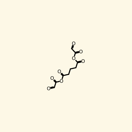 O=CC(=O)OC(=O)CCCC(=O)OC(=O)C=O